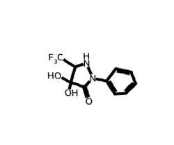 O=C1N(c2ccccc2)NC(C(F)(F)F)C1(O)O